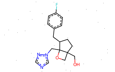 OCC12CCC(Cc3ccc(F)cc3)C1(Cn1cncn1)OC2